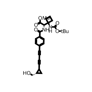 COC(=O)[C@@H](NC(=O)c1ccc(C#CC#CC2C[C@@H]2CO)cc1)C1(NC(=O)OC(C)(C)C)CCC1